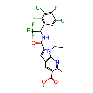 CCn1c(C(=O)NC(c2cc(Cl)c(F)c(Cl)c2F)C(F)(F)F)cc2cc(C(=O)OC)c(C)nc21